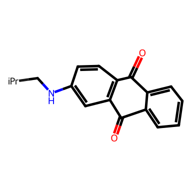 CC(C)CNc1ccc2c(c1)C(=O)c1ccccc1C2=O